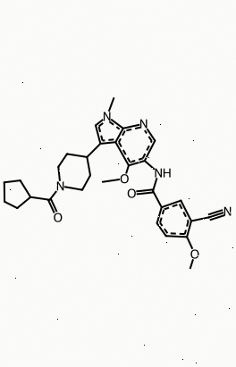 COc1ccc(C(=O)Nc2cnc3c(c(C4CCN(C(=O)C5CCCC5)CC4)cn3C)c2OC)cc1C#N